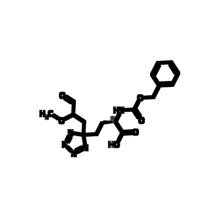 COC(C=O)CC1(CC[C@H](NC(=O)OCc2ccccc2)C(=O)O)N=NN=N1